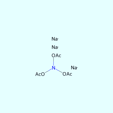 CC(=O)ON(OC(C)=O)OC(C)=O.[Na].[Na].[Na]